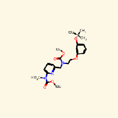 CC(C)(C)OC(=O)N(CCOc1cccc(O[Si](C)(C)C(C)(C)C)c1)Cc1cccc(N(C(=O)O)C(=O)OC(C)(C)C)n1